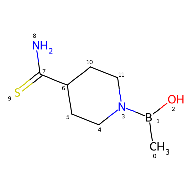 CB(O)N1CCC(C(N)=S)CC1